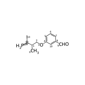 CC(COc1cccc(C=O)c1)B(P)I